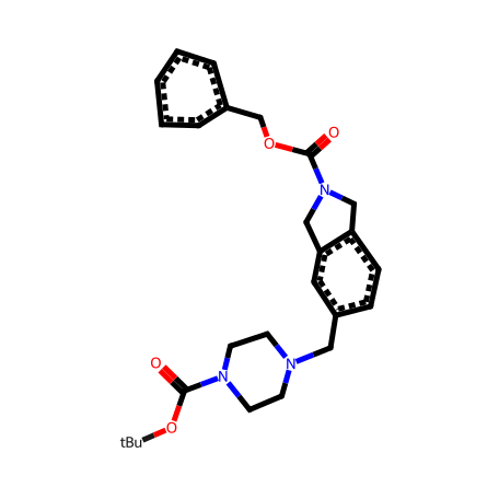 CC(C)(C)OC(=O)N1CCN(Cc2ccc3c(c2)CN(C(=O)OCc2ccccc2)C3)CC1